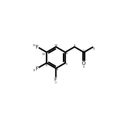 CC(=O)Cc1cc(F)c(F)c(F)c1